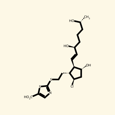 C[C@@H](O)CCC[C@H](O)/C=C/[C@@H]1[C@@H](CCSc2ncc(C(=O)O)s2)[C@H](Cl)C[C@H]1O